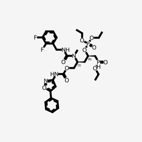 CCO[PH](=O)C[C@@H](C[C@@H](COC(=O)Nc1cc(-c2ccccc2)on1)N(C)C(=O)NCc1cccc(F)c1F)OP(=O)(OCC)OCC